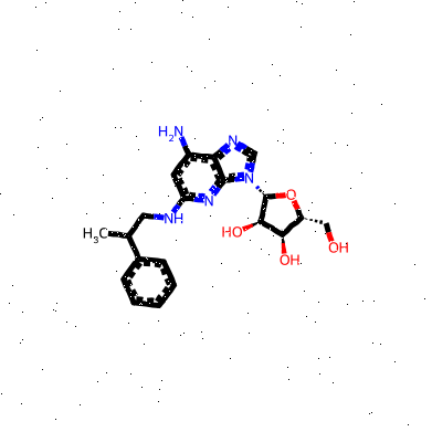 CC(CNc1cc(N)c2ncn([C@@H]3O[C@H](CO)[C@@H](O)[C@H]3O)c2n1)c1ccccc1